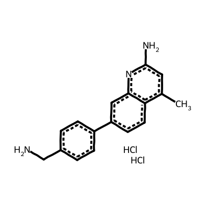 Cc1cc(N)nc2cc(-c3ccc(CN)cc3)ccc12.Cl.Cl